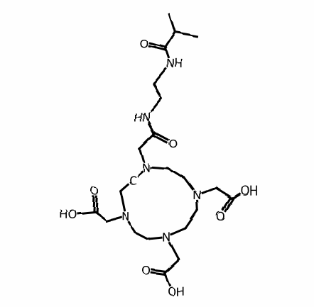 CC(C)C(=O)NCCNC(=O)CN1CCN(CC(=O)O)CCN(CC(=O)O)CCN(CC(=O)O)CC1